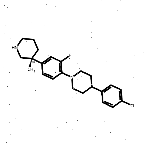 C[C@]1(c2ccc(N3CCC(c4ccc(Cl)cc4)CC3)c(F)c2)CCCNC1